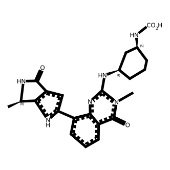 C[C@H]1NC(=O)c2cc(-c3cccc4c(=O)n(C)c(N[C@@H]5CCC[C@H](NC(=O)O)C5)nc34)[nH]c21